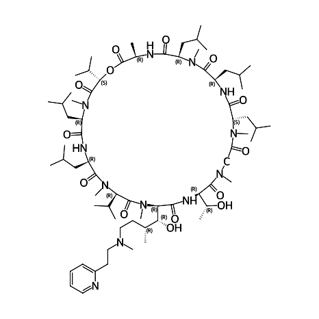 CC(C)C[C@@H]1C(=O)N[C@H](CC(C)C)C(=O)N(C)[C@H](C(C)C)C(=O)N(C)[C@H]([C@H](O)[C@H](C)CCN(C)CCc2ccccn2)C(=O)N[C@H]([C@@H](C)O)C(=O)N(C)CC(=O)N(C)[C@@H](CC(C)C)C(=O)N[C@H](CC(C)C)C(=O)N(C)[C@H](CC(C)C)C(=O)N[C@H](C)C(=O)O[C@@H](C(C)C)C(=O)N1C